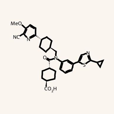 COc1ccc([C@H]2CC[C@H](CN(c3cccc(-c4cnc(C5CC5)s4)c3)C(=O)[C@H]3CC[C@H](C(=O)O)CC3)CC2)nc1C#N